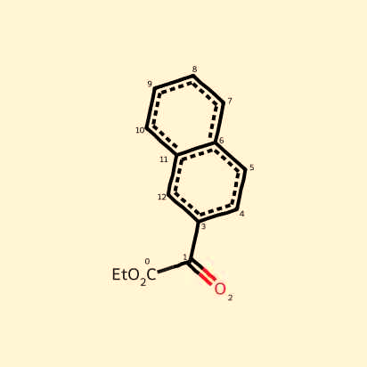 CCOC(=O)C(=O)c1ccc2ccccc2c1